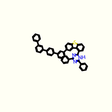 c1ccc(C2=NC(c3cccc4sc5ccc(-c6cccc(-c7ccc(-c8cccc(-c9ccccc9)c8)cc7)c6)cc5c34)NC(c3ccccc3)=N2)cc1